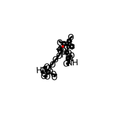 COc1ccc(C(OC[C@H]2O[C@@H](n3ccc(NC(C)=O)nc3=O)[C@H](F)[C@@H]2OP(CCOCCOCCOCCO[C@@H]2O[C@H](COC(C)=O)[C@H](OC(C)=O)[C@H](OC(C)=O)[C@H]2NC(C)=O)N(C(C)C)C(C)C)(c2ccccc2)c2ccc(OC)cc2)cc1